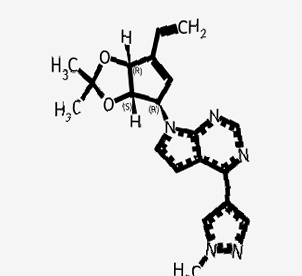 C=CC1=C[C@@H](n2ccc3c(-c4cnn(C)c4)ncnc32)[C@@H]2OC(C)(C)O[C@H]12